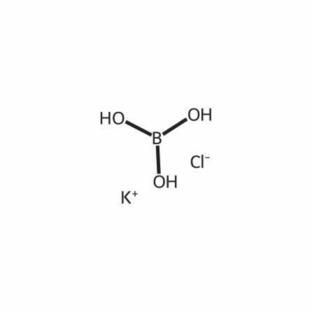 OB(O)O.[Cl-].[K+]